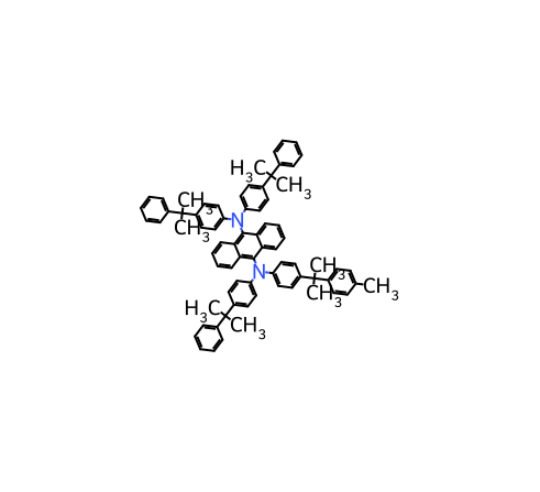 Cc1ccc(C(C)(C)c2ccc(N(c3ccc(C(C)(C)c4ccccc4)cc3)c3c4ccccc4c(N(c4ccc(C(C)(C)c5ccccc5)cc4)c4ccc(C(C)(C)c5ccccc5)cc4)c4ccccc34)cc2)cc1